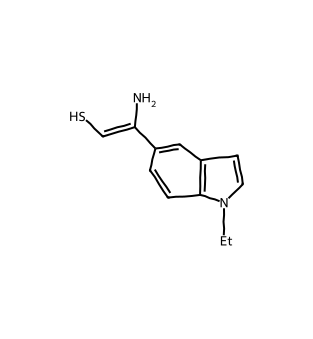 CCn1ccc2cc(/C(N)=C/S)ccc21